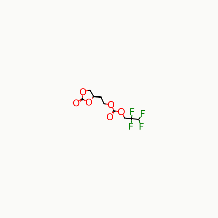 O=C(OCCC1COC(=O)O1)OCC(F)(F)C(F)F